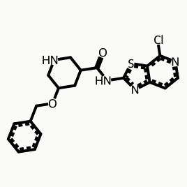 O=C(Nc1nc2ccnc(Cl)c2s1)C1CNCC(OCc2ccccc2)C1